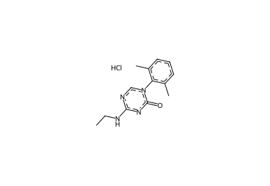 CCNc1ncn(-c2c(C)cccc2C)c(=O)n1.Cl